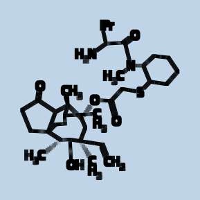 C=C[C@]1(C)C[C@@H](OC(=O)CSC2CCCCC2N(C)C(=O)C(N)C(C)C)[C@]2(C)C(C)CCC3(CCC(=O)C32)[C@@H](C)C1O